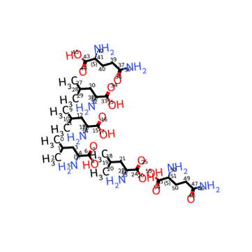 CC(C)C[C@H](N)C(=O)O.CC(C)C[C@H](N)C(=O)O.CC(C)C[C@H](N)C(=O)O.CC(C)C[C@H](N)C(=O)O.NC(=O)CC[C@H](N)C(=O)O.NC(=O)CC[C@H](N)C(=O)O